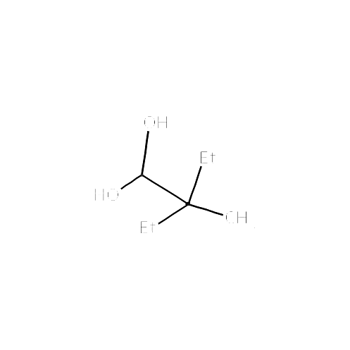 CCC(C)(CC)C(O)O